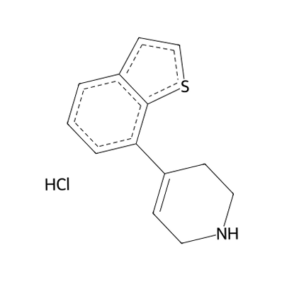 C1=C(c2cccc3ccsc23)CCNC1.Cl